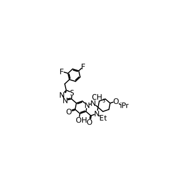 CCN1C(=O)c2c(O)c(=O)c(-c3nnc(Cc4ccc(F)cc4F)s3)cn2N(C)C12CCC(OC(C)C)CC2